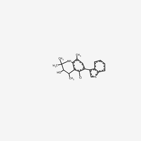 Cc1cc(-c2csc3ccccc23)c(Cl)c2c1NC(C)(C)C(O)C2C